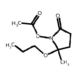 CCCOC1(C)CCC(=O)N1OC(C)=O